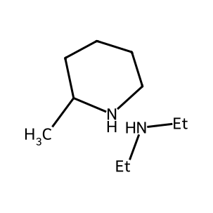 CC1CCCCN1.CCNCC